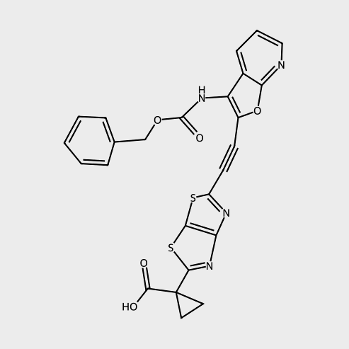 O=C(Nc1c(C#Cc2nc3nc(C4(C(=O)O)CC4)sc3s2)oc2ncccc12)OCc1ccccc1